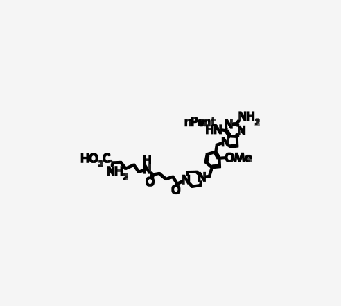 CCCCCNc1nc(N)nc2ccn(Cc3ccc(CN4CCN(C(=O)CCCC(=O)NCCCC[C@H](N)C(=O)O)CC4)cc3OC)c12